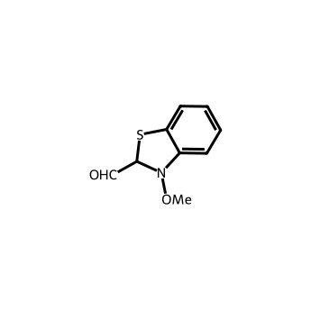 CON1c2ccccc2SC1C=O